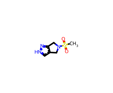 CS(=O)(=O)N1Cc2c[nH]nc2C1